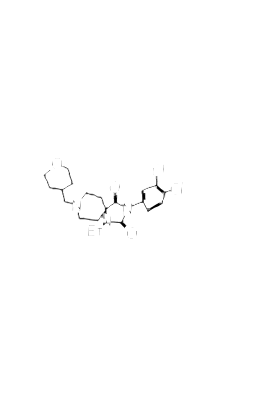 CCN1C(=O)N(c2ccc(Cl)c(Cl)c2)C(=O)C12CCN(CC1CCOCC1)CC2